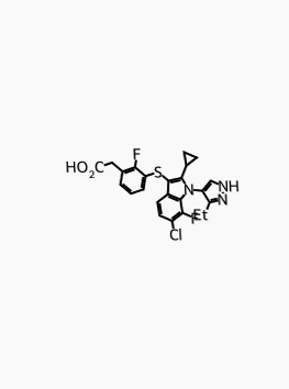 CCc1n[nH]cc1-n1c(C2CC2)c(Sc2cccc(CC(=O)O)c2F)c2ccc(Cl)c(F)c21